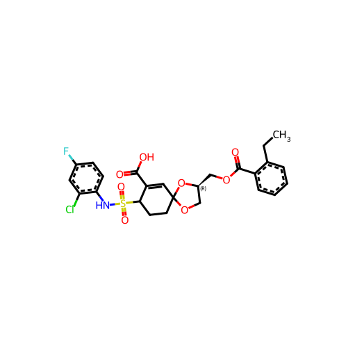 CCc1ccccc1C(=O)OC[C@H]1COC2(C=C(C(=O)O)C(S(=O)(=O)Nc3ccc(F)cc3Cl)CC2)O1